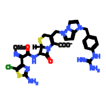 CO/N=C(\C(=O)N[C@@H]1C(=O)N2C(C(=O)[O-])=C(C[n+]3ccc4n(Cc5ccc(NC(=N)N)cc5)ccn43)CS[C@H]12)c1nc(N)sc1Cl